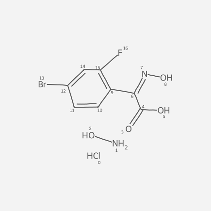 Cl.NO.O=C(O)/C(=N\O)c1ccc(Br)cc1F